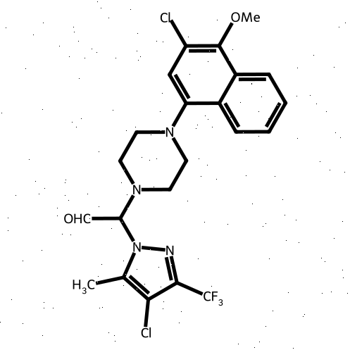 COc1c(Cl)cc(N2CCN(C(C=O)n3nc(C(F)(F)F)c(Cl)c3C)CC2)c2ccccc12